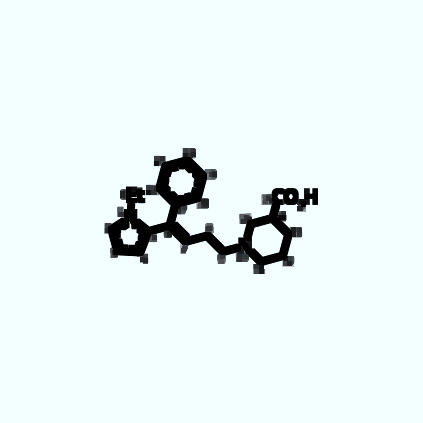 CCn1cccc1C(=CCCN1CCCC(C(=O)O)C1)c1ccccc1